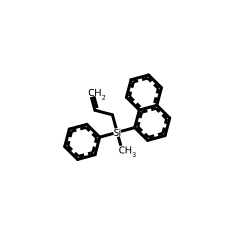 C=CC[Si](C)(c1ccccc1)c1cccc2ccccc12